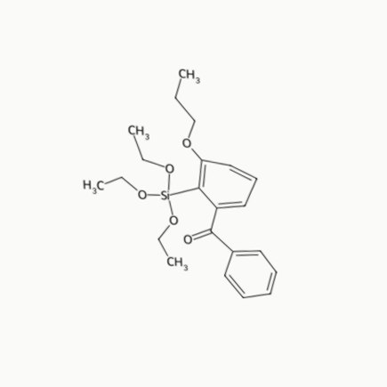 CCCOc1cccc(C(=O)c2ccccc2)c1[Si](OCC)(OCC)OCC